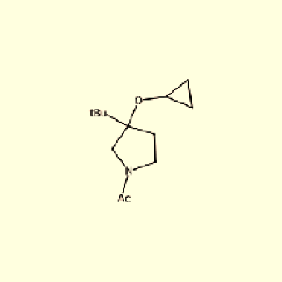 CC(=O)N1CCC(OC2CC2)(C(C)(C)C)C1